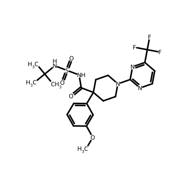 COc1cccc(C2(C(=O)NS(=O)(=O)NC(C)(C)C)CCN(c3nccc(C(F)(F)F)n3)CC2)c1